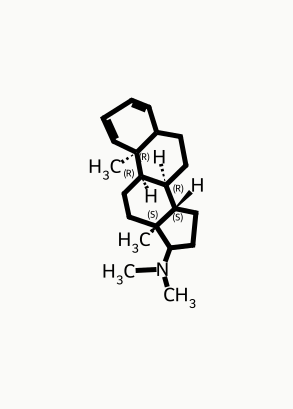 CN(C)C1CC[C@H]2[C@@H]3CCC4C=CC=C[C@]4(C)[C@@H]3CC[C@]12C